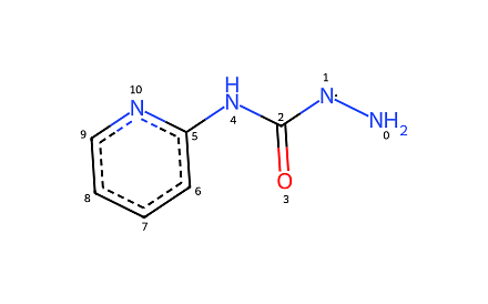 N[N]C(=O)Nc1ccccn1